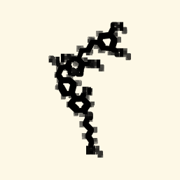 [2H][C@@H](Cc1ccc(-c2ccc(OCCCCN)cc2CC)cc1)C(=O)N[C@@H](CCCc1cc(C)cc(C)c1)C(N)=O